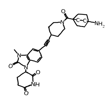 Cn1c(=O)n(C2CCC(=O)NC2=O)c2ccc(C#CC3CCN(C(=O)C45CCC(N)(CC4)CC5)CC3)cc21